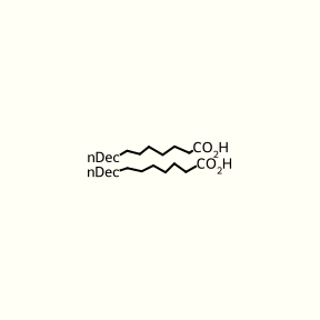 CCCCCCCCCCCCCCCCC(=O)O.CCCCCCCCCCCCCCCCC(=O)O